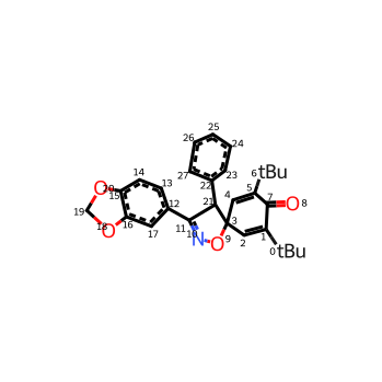 CC(C)(C)C1=CC2(C=C(C(C)(C)C)C1=O)ON=C(c1ccc3c(c1)OCO3)C2c1ccccc1